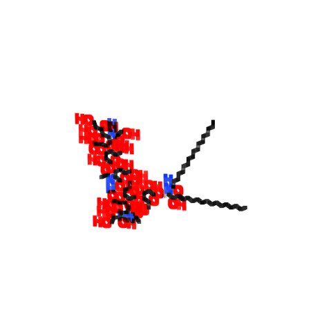 CCCCCCCCCCCCC/C=C/[C@@H](O)[C@H](CO[C@@H]1OC(CO)[C@@H](O[C@@H]2OC(CO)[C@H](O[C@@H]3OC(CO)[C@H](O)[C@H](O[C@@H]4OC(CO)[C@H](O)[C@H](O[C@]5(C(=O)O)CC(O)[C@@H](NC(=O)CO)C([C@H](O)[C@H](O)CO)O5)C4O)C3NC(C)=O)[C@H](O[C@]3(C(=O)O)CC(O)[C@@H](NC(C)=O)C([C@H](O)[C@H](O)CO)O3)C2O)[C@H](O)C1O)NC(=O)CCCCCCCCCCCCCCCCC